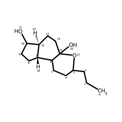 CCCC1CCC2[C@@H]3CCC(O)[C@H]3CCC2(O)O1